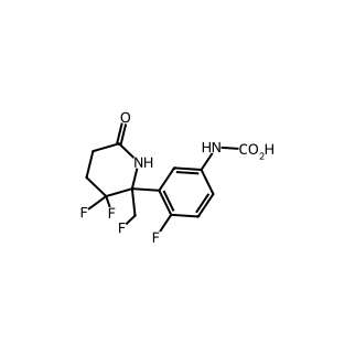 O=C(O)Nc1ccc(F)c(C2(CF)NC(=O)CCC2(F)F)c1